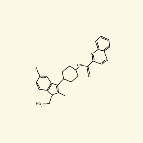 Cc1c(C2CCC(NC(=O)c3cnc4ccccc4n3)CC2)c2cc(F)ccc2n1CC(=O)O